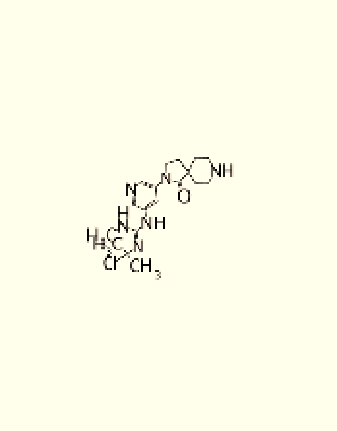 CN/C(=N\C(C)(C)Cl)Nc1cncc(N2CCC3(CCNCC3)C2=O)c1